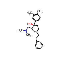 Cc1ccc(C2(O)CCC(CCc3ccccc3)CC2CN(C)C)cc1C